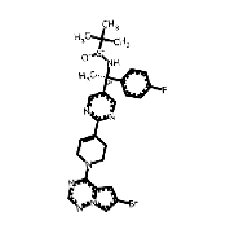 CC(C)(C)[S+]([O-])N[C@@](C)(c1ccc(F)cc1)c1cnc(C2=CCN(c3ncnn4cc(Br)cc34)CC2)nc1